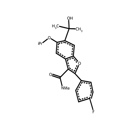 CNC(=O)c1c(-c2ccc(F)cc2)oc2cc(C(C)(C)O)c(OC(C)C)cc12